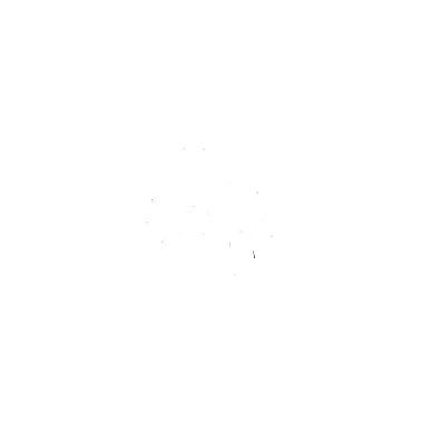 BrC[C@@]12COC(c3ccccc3)(c3ccccc3)OCC1C2